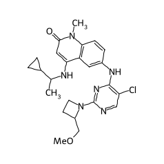 COCC1CCN1c1ncc(Cl)c(Nc2ccc3c(c2)c(NC(C)C2CC2)cc(=O)n3C)n1